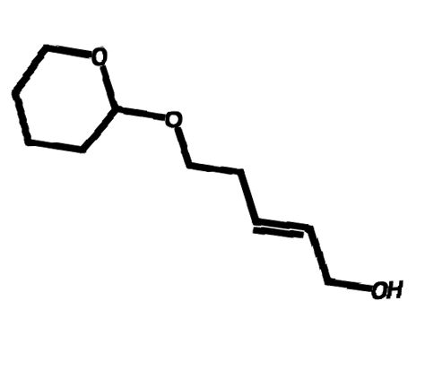 OC/C=C/CCOC1CCCCO1